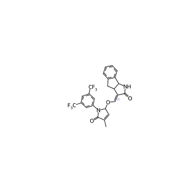 CC1=CC(O/C=C2/C(=O)NC3c4ccccc4CC23)N(c2cc(C(F)(F)F)cc(C(F)(F)F)c2)C1=O